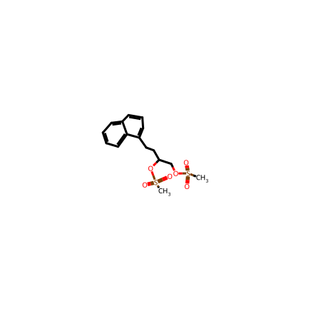 CS(=O)(=O)OCC(CCc1cccc2ccccc12)OS(C)(=O)=O